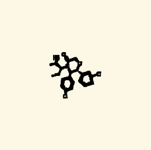 CC[C@@H]([C@@H](C)S)N1C(=O)CO[C@H](c2cccc(Cl)c2)[C@H]1c1ccc(Cl)cc1